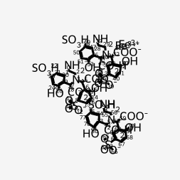 NCCN(C(C(=O)[O-])c1cc(S(=O)(=O)[O-])ccc1O)C(C(=O)O)c1cc(S(=O)(=O)O)ccc1O.NCCN(C(C(=O)[O-])c1cc(S(=O)(=O)[O-])ccc1O)C(C(=O)O)c1cc(S(=O)(=O)O)ccc1O.NCCN(C(C(=O)[O-])c1cc(S(=O)(=O)[O-])ccc1O)C(C(=O)O)c1cc(S(=O)(=O)O)ccc1O.[Fe+3].[Fe+3]